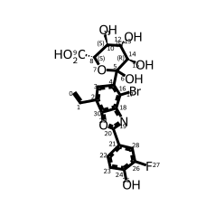 C=Cc1cc(C2(O)O[C@H](C(=O)O)[C@@H](O)[C@H](O)[C@H]2O)c(Br)c2nc(-c3ccc(O)c(F)c3)oc12